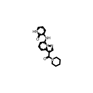 O=C(c1cnn2c(Nc3ccc[nH]c3=O)cccc12)N1CCCCC1